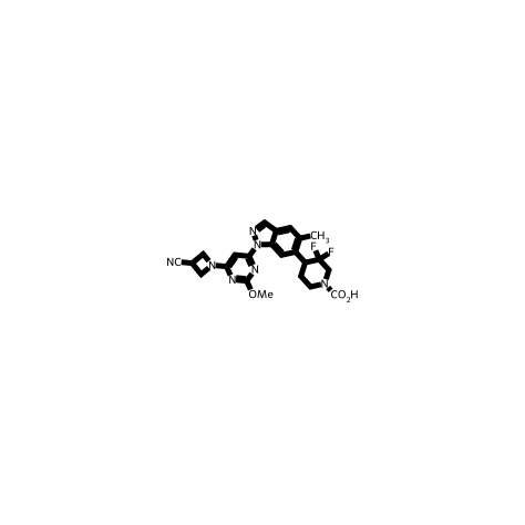 COc1nc(N2CC(C#N)C2)cc(-n2ncc3cc(C)c(C4CCN(C(=O)O)CC4(F)F)cc32)n1